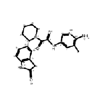 Cc1cc(NC(=O)C(=O)N2CCCC[C@H]2c2ccc3c(c2)CC(=O)N3)cnc1N